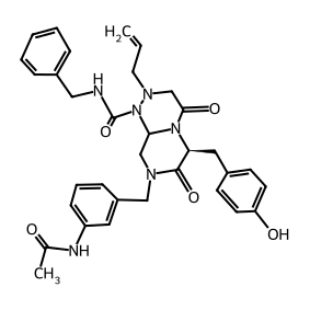 C=CCN1CC(=O)N2C(CN(Cc3cccc(NC(C)=O)c3)C(=O)[C@@H]2Cc2ccc(O)cc2)N1C(=O)NCc1ccccc1